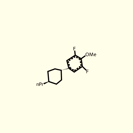 CCC[C@H]1CC[C@H](c2cc(F)c(OC)c(F)c2)CC1